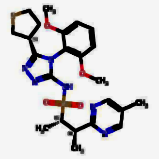 COc1cccc(OC)c1-n1c(NS(=O)(=O)[C@@H](C)[C@H](C)c2ncc(C)cn2)nnc1[C@@H]1CCSC1